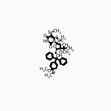 COC1(OC)C=CC(C(OC[C@H]2O[C@](n3cc([Se]C)c(=O)[nH]c3=O)([SiH](C)C)C[C@@]2(O)C(C)(C)C)(c2ccccc2)c2ccccc2)=CC1